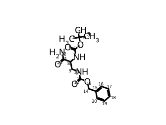 CC(C)(C)OC(=O)NC(CNC(=O)OCc1ccccc1)C(N)=O